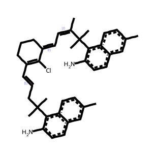 C/C(=C/C=C1\CCCC(/C=C/CC(C)(C)c2c(N)ccc3cc(C)ccc23)=C1Cl)C(C)(C)c1c(N)ccc2cc(C)ccc12